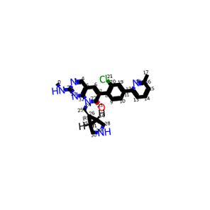 CNc1ncc2cc(-c3ccc(-c4cccc(C)n4)cc3Cl)c(=O)n(C[C@H]3[C@@H]4CNC[C@@H]43)c2n1